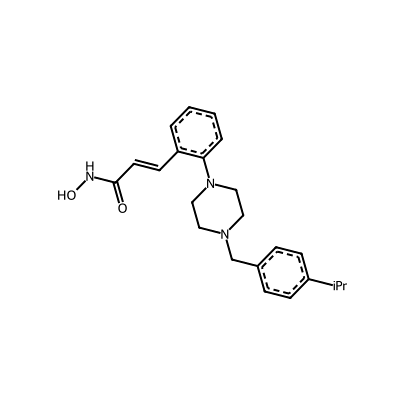 CC(C)c1ccc(CN2CCN(c3ccccc3C=CC(=O)NO)CC2)cc1